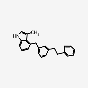 Cc1c[nH]c2cccc(Cc3cccc(CCc4ccccc4)c3)c12